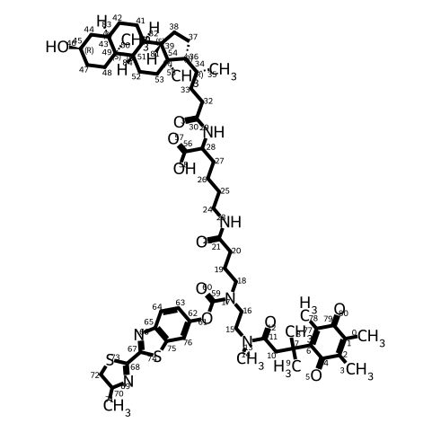 CC1=C(C)C(=O)C(C(C)(C)CC(=O)N(C)CCN(CCCC(=O)NCCCCC(NC(=O)CC[C@@H](C)[C@H]2CC[C@H]3[C@@H]4CC[C@@H]5C[C@H](O)CC[C@]5(C)[C@H]4CC[C@]23C)C(=O)O)C(=O)Oc2ccc3nc(C4=NC(C)CS4)sc3c2)=C(C)C1=O